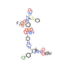 CC(C)(C)OC(=O)NC[C@]1(C)CCC(c2ccc(Cl)cc2)=C(CN2CCN(c3ccc(C(=O)NS(=O)(=O)c4ccc(N[C@H](CCN5CCOCC5)CSc5ccccc5)c(S(=O)(=O)C(F)(F)F)c4)cc3)CC2)C1